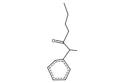 CCCCC(=O)C(C)c1ccccc1